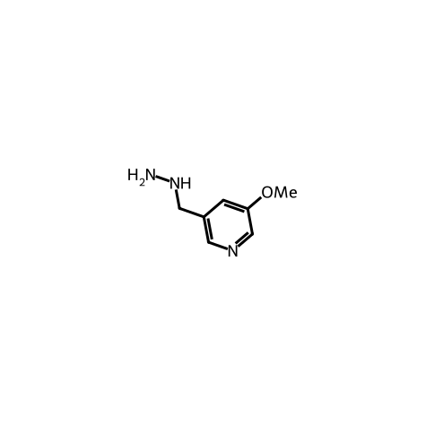 COc1cncc(CNN)c1